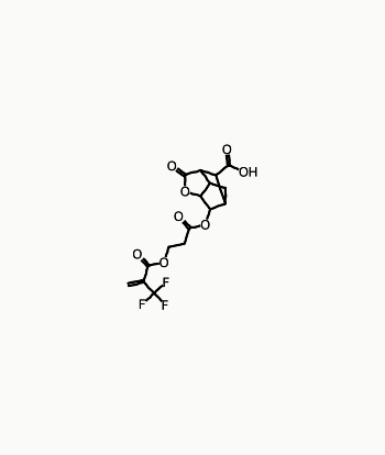 C=C(C(=O)OCCC(=O)OC1C2CC3C1OC(=O)C3C2C(=O)O)C(F)(F)F